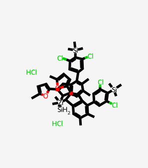 Cc1ccc(C2=Cc3c(cc(C)c(C)c3-c3cc(Cl)c([Si](C)(C)C)c(Cl)c3)[CH]2[Zr]([CH3])([CH3])(=[SiH2])[CH]2C(c3ccc(C)o3)=Cc3c2cc(C)c(C)c3-c2cc(Cl)c([Si](C)(C)C)c(Cl)c2)o1.Cl.Cl